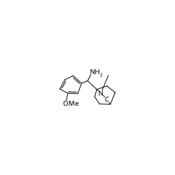 COc1cccc(C(N)C23CCC(CC2)CN3C)c1